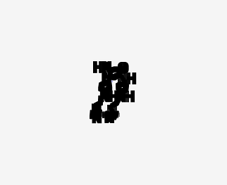 CNC1=CC(=O)C(Nc2ccc(NCCCn3cc[n+](C)c3)cc2)=C/C1=N\c1ccc(NCCCN2C=[N+](C)CC2)cc1